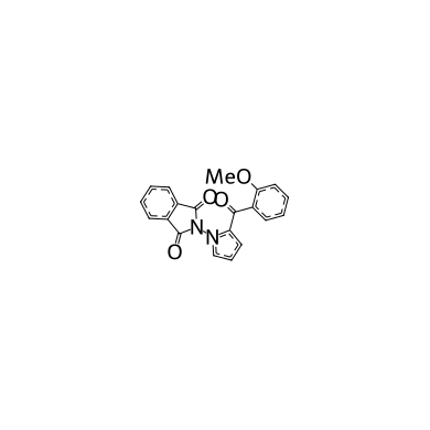 COc1ccccc1C(=O)c1cccn1N1C(=O)c2ccccc2C1=O